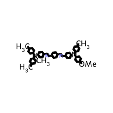 COc1ccc(N(c2ccc(C)cc2)c2ccc(/C=C/c3ccc(/C=C/c4ccc(N(c5ccc(C)cc5)c5ccc(C)cc5C)cc4)cc3)cc2)cc1